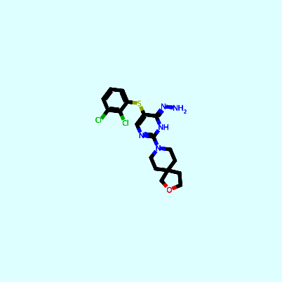 N/N=c1\[nH]c(N2CCC3(CCOC3)CC2)ncc1Sc1cccc(Cl)c1Cl